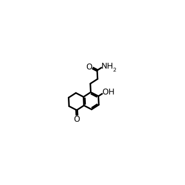 NC(=O)CCc1c(O)ccc2c1CCCC2=O